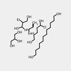 C=C[CH2][SnH].CCCC(O)C(CC)CO.OCC(O)CO.OCCCCC(O)Cl.OCCCCCCCCCCCCO